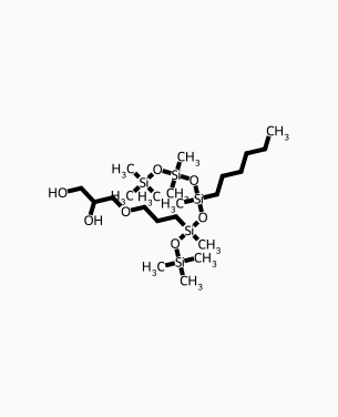 CCCCCC[Si](C)(O[Si](C)(C)O[Si](C)(C)C)O[Si](C)(CCCOCC(O)CO)O[Si](C)(C)C